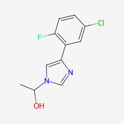 CC(O)n1cnc(-c2cc(Cl)ccc2F)c1